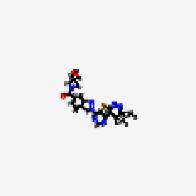 Cc1nnc2sc3c(NCc4ccc(C(=O)N5CC6(COC6)C5)cc4)ncnc3c2c1C